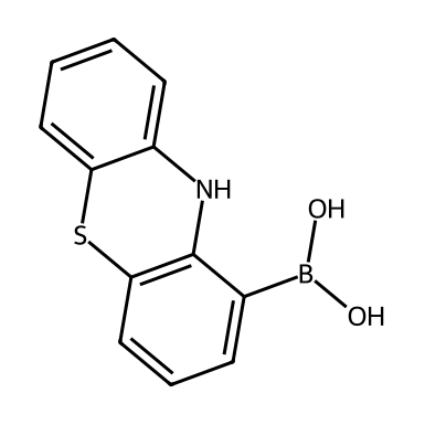 OB(O)c1cccc2c1Nc1ccccc1S2